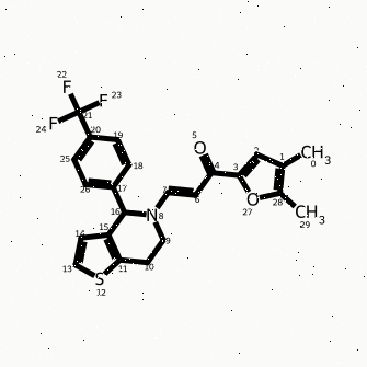 Cc1cc(C(=O)C=CN2CCc3sccc3C2c2ccc(C(F)(F)F)cc2)oc1C